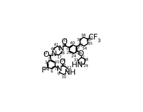 O=C(c1cc(F)cc(N2CCNCC2=O)c1)N1CCN(C(=O)c2ccc(O[C@H]3CCNC3)c(C3CCC(C(F)(F)F)CC3)c2)CC1